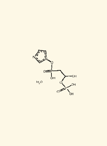 O.O=P(O)(O)OC(O)CP(=O)(O)On1ccnc1